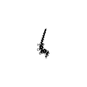 CCCCCCCCCCCCCC(=O)Nc1ccc(-c2cc(=O)oc3cc(O[C@H](C)C(=O)OCC)ccc23)c(Cl)c1